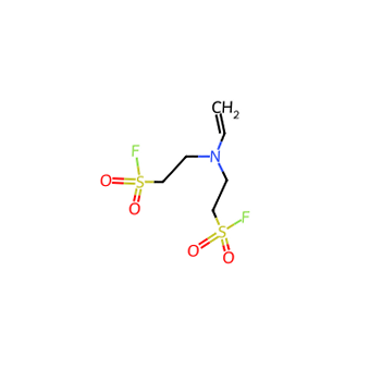 C=CN(CCS(=O)(=O)F)CCS(=O)(=O)F